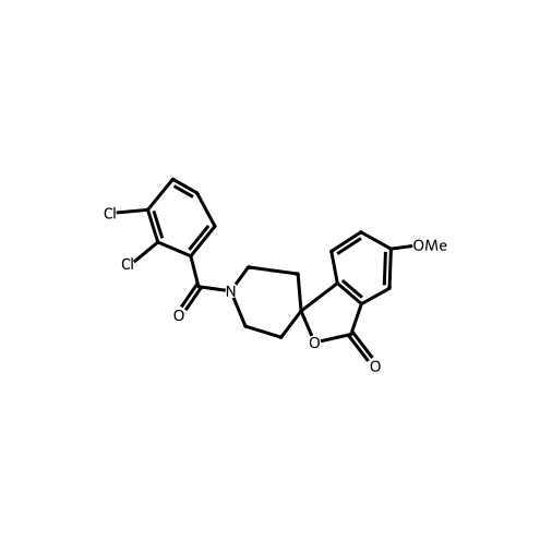 COc1ccc2c(c1)C(=O)OC21CCN(C(=O)c2cccc(Cl)c2Cl)CC1